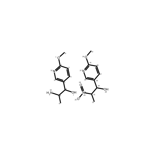 COc1ccc(C(O)C(C)N)cn1.COc1ccc(C(O)C(C)[N+](=O)[O-])cn1